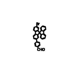 O=Cc1ccc(-c2ccc3c(c2)C2(c4ccccc4-c4ccccc42)c2cc(Br)ccc2-3)cc1